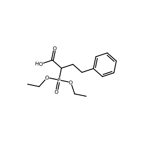 CCOP(=O)(OCC)C(CCc1ccccc1)C(=O)O